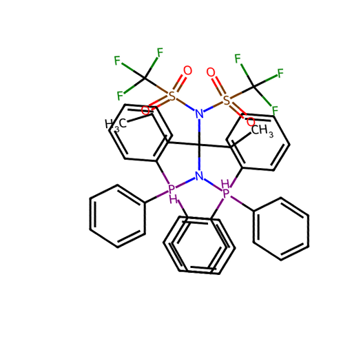 CCCC(CC)(N([PH](c1ccccc1)(c1ccccc1)c1ccccc1)[PH](c1ccccc1)(c1ccccc1)c1ccccc1)N(S(=O)(=O)C(F)(F)F)S(=O)(=O)C(F)(F)F